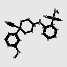 COc1cccc(C2(C#N)CCC(Nc3ccccc3S(N)(=O)=O)CC2)c1